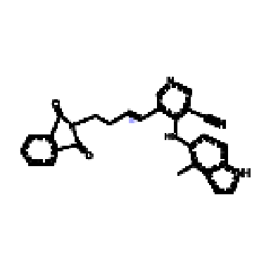 Cc1c(Nc2c(C#N)cncc2/C=C/CCN2C(=O)c3ccccc3C2=O)ccc2[nH]ccc12